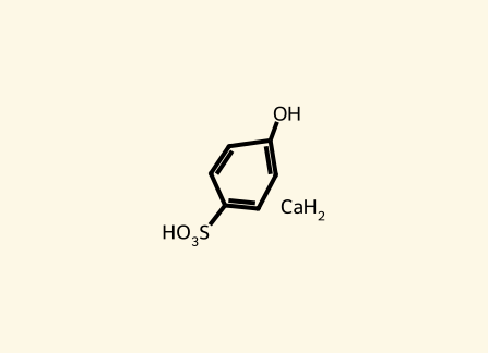 O=S(=O)(O)c1ccc(O)cc1.[CaH2]